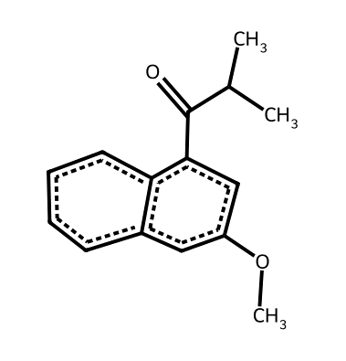 COc1cc(C(=O)C(C)C)c2ccccc2c1